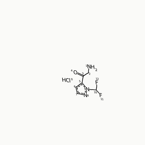 Cl.NCC(=O)c1ccnn1C(F)F